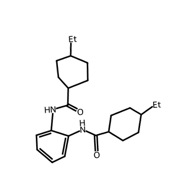 CCC1CCC(C(=O)Nc2ccccc2NC(=O)C2CCC(CC)CC2)CC1